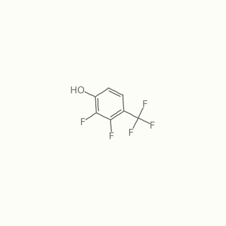 Oc1ccc(C(F)(F)F)c(F)c1F